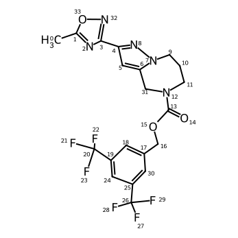 Cc1nc(-c2cc3n(n2)CCCN(C(=O)OCc2cc(C(F)(F)F)cc(C(F)(F)F)c2)C3)no1